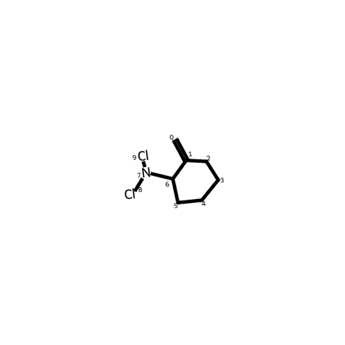 C=C1CCCCC1N(Cl)Cl